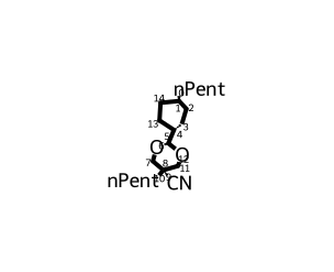 CCCCC[C@H]1CC[C@H]([C@H]2OC[C@](C#N)(CCCCC)CO2)CC1